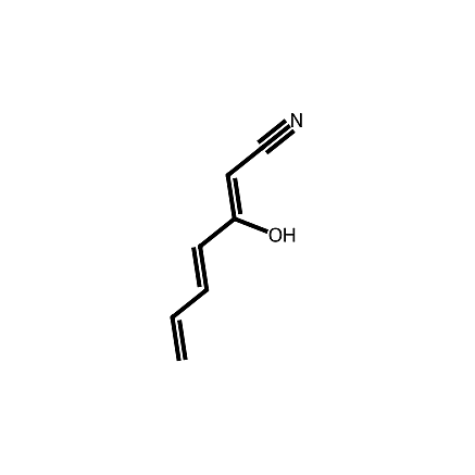 C=CC=CC(O)=CC#N